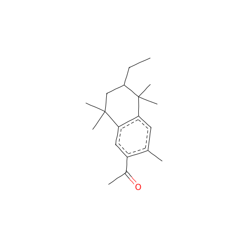 CCC1CC(C)(C)c2cc(C(C)=O)c(C)cc2C1(C)C